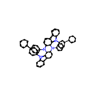 c1ccc(-c2ccc(-n3c4ccccc4c4ccc5c(c43)N(c3ccccc3)c3ccc4c6ccccc6n(-c6cccc(-c7ccccc7)c6)c4c3N5c3ccccc3)cc2)cc1